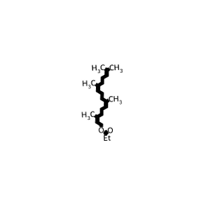 CCC(=O)OCC=C(C)CCC=C(C)CCC=C(C)CCC=C(C)C